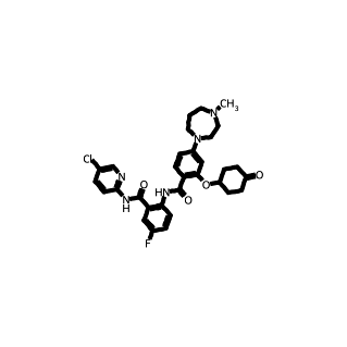 CN1CCCN(c2ccc(C(=O)Nc3ccc(F)cc3C(=O)Nc3ccc(Cl)cn3)c(OC3CCC(=O)CC3)c2)CC1